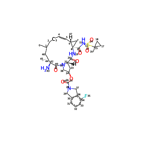 CC1CC/C=C\[C@@H]2C[C@@]2(C(=O)NS(=O)(=O)C2(C)CC2)NC(=O)[C@@H]2C[C@@H](OC(=O)N3Cc4cccc(F)c4C3)CN2C(=O)[C@@H](N)[C@H](C)C1